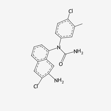 Cc1cc(N(C(N)=O)c2cccc3cc(Cl)c(N)cc23)ccc1Cl